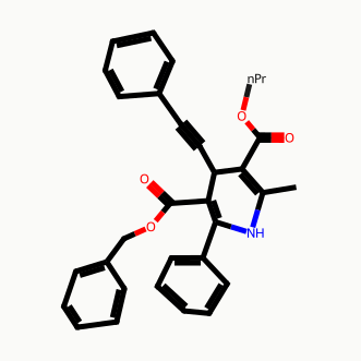 CCCOC(=O)C1=C(C)NC(c2ccccc2)=C(C(=O)OCc2ccccc2)C1C#Cc1ccccc1